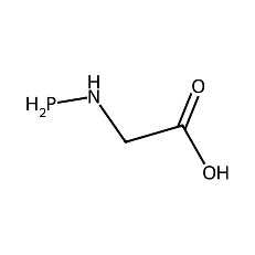 O=C(O)CNP